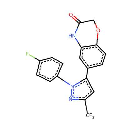 O=C1COc2ccc(-c3cc(C(F)(F)F)nn3-c3ccc(F)cc3)cc2N1